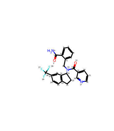 NC(=O)c1ccccc1CN(C(=O)c1cccnc1)[C@@H]1CCc2ccc(C(F)(F)F)cc21